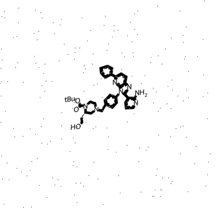 CC(C)(C)OC(=O)N1CCN(Cc2ccc(-n3c(-c4cccnc4N)nc4ccc(-c5ccccc5)nc43)cc2)C[C@@H]1CCO